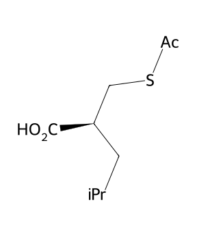 CC(=O)SC[C@@H](CC(C)C)C(=O)O